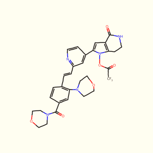 O=C1NCCc2c1cc(-c1ccnc(C=Cc3ccc(C(=O)N4CCOCC4)cc3N3CCOCC3)c1)n2OC(=O)C(F)(F)F